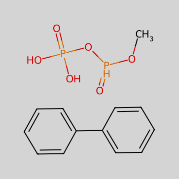 CO[PH](=O)OP(=O)(O)O.c1ccc(-c2ccccc2)cc1